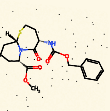 COC(=O)[C@@H]1CCC[C@@H]2SCC[C@H](NC(=O)OCc3ccccc3)C(=O)N21